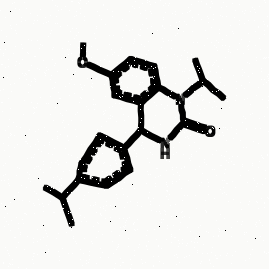 COc1ccc2c(c1)C(c1ccc(C(C)C)cc1)NC(=O)N2C(C)C